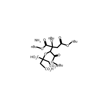 CCCCOC(=O)CC(OCCCC)(C(=O)OCCCC)C(OC(CC(=O)O)(CC(=O)O)C(=O)O)C(=O)OCCCC.N